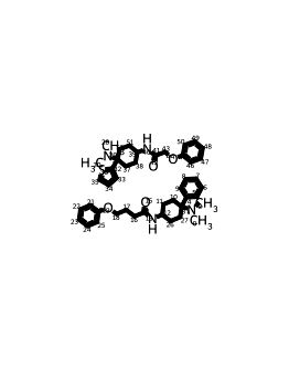 CN(C)C1(c2ccccc2)CCC(NC(=O)CCCOc2ccccc2)CC1.CN(C)C1(c2cccs2)CCC(NC(=O)COc2ccccc2)CC1